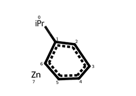 CC(C)c1ccccc1.[Zn]